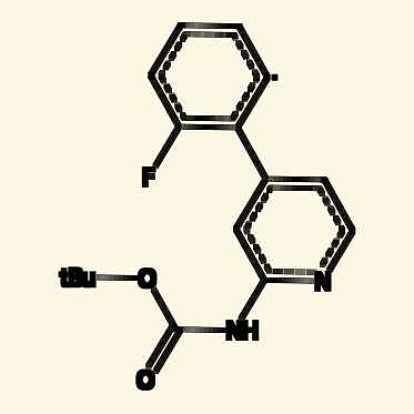 CC(C)(C)OC(=O)Nc1cc(-c2[c]cccc2F)ccn1